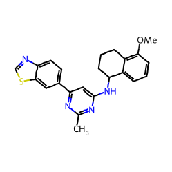 COc1cccc2c1CCCC2Nc1cc(-c2ccc3ncsc3c2)nc(C)n1